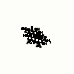 CN(C)c1cc(NC(=O)CNC(C)(C)C)c(O[C@@H]2O[C@H](C(=O)O)[C@@H](O)[C@H](O)[C@H]2O)c2c1C[C@H]1C[C@H]3[C@@H](N(C)C)C(O)=C(C(N)=O)C(=O)[C@@]3(O)C(O)=C1C2=O